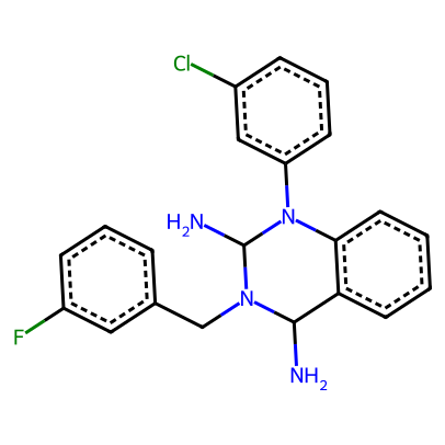 NC1c2ccccc2N(c2cccc(Cl)c2)C(N)N1Cc1cccc(F)c1